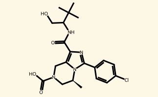 C[C@H]1CN(C(=O)O)Cc2c(C(=O)NC(CO)C(C)(C)C)nc(-c3ccc(Cl)cc3)n21